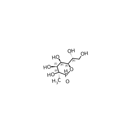 C[C@]1(O)[C@@H](O)[C@@H](O)[C@@H]([C@H](O)CO)O[PH]1=O